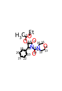 CCOC(C)O[C@H]1C(=O)N(C(=O)N2CCOCC2)[C@H]1c1ccccc1